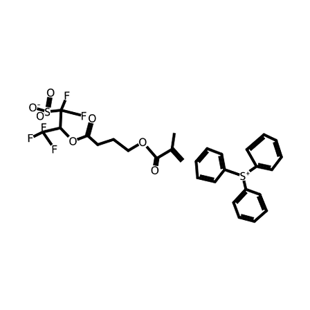 C=C(C)C(=O)OCCCC(=O)OC(C(F)(F)F)C(F)(F)S(=O)(=O)[O-].c1ccc([S+](c2ccccc2)c2ccccc2)cc1